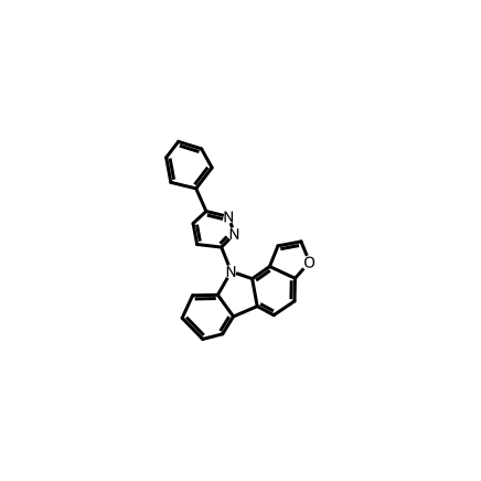 c1ccc(-c2ccc(-n3c4ccccc4c4ccc5occc5c43)nn2)cc1